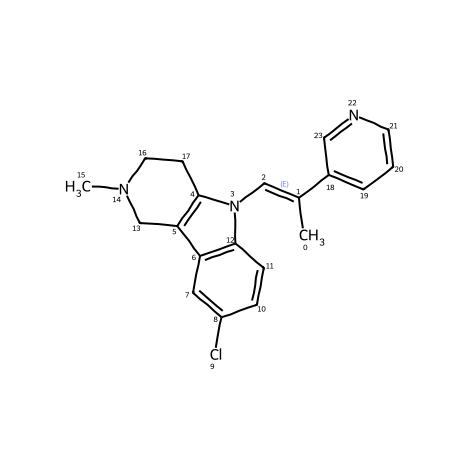 C/C(=C\n1c2c(c3cc(Cl)ccc31)CN(C)CC2)c1cccnc1